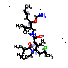 C=C(Cl)/C=C(\C(C)=C\C(=O)NC/C(C(=C)C)=C(/C/C=C/C)OCN)N(CC)C(=O)C(C)C